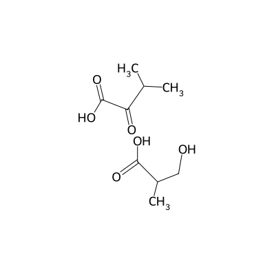 CC(C)C(=O)C(=O)O.CC(CO)C(=O)O